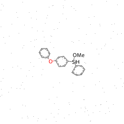 CO[SiH](c1ccccc1)c1ccc(Oc2ccccc2)cc1